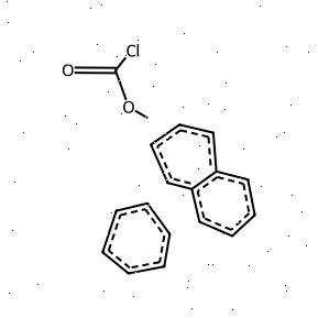 COC(=O)Cl.c1ccc2ccccc2c1.c1ccccc1